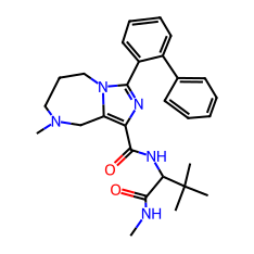 CNC(=O)C(NC(=O)c1nc(-c2ccccc2-c2ccccc2)n2c1CN(C)CCC2)C(C)(C)C